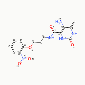 C=C1NC(=O)NC(C(=O)NCCCOc2ccccc2[N+](=O)[O-])=C1N